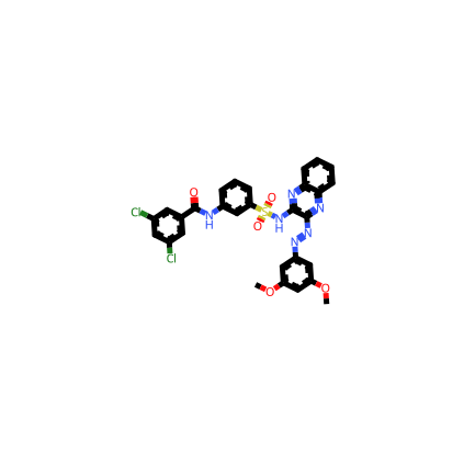 COc1cc(N=Nc2nc3ccccc3nc2NS(=O)(=O)c2cccc(NC(=O)c3cc(Cl)cc(Cl)c3)c2)cc(OC)c1